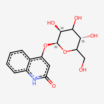 O=c1cc(O[C@@H]2OC(CO)[C@@H](O)C(O)[C@@H]2O)c2ccccc2[nH]1